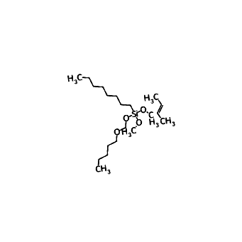 CC=CC.CCCCCCCC[Si](OC)(OC)OCOCCCCC